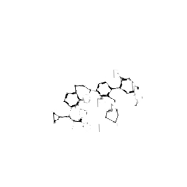 COc1cc(-c2ccc([C@@H]3CCc4ccc([C@H](C5CC5)[C@H](C)C(=O)O)cc4O3)c(F)c2CN2CCCC2)c(F)cn1